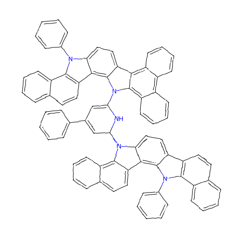 C1=C(c2ccccc2)C=C(n2c3c4ccccc4c4ccccc4c3c3ccc4c(c5ccc6ccccc6c5n4-c4ccccc4)c32)NC1n1c2ccc3c4ccc5ccccc5c4n(-c4ccccc4)c3c2c2ccc3ccccc3c21